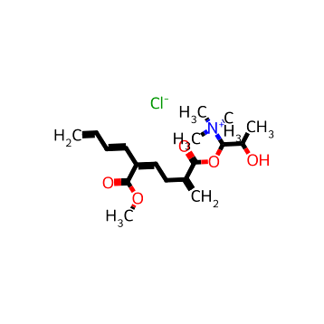 C=CC=CC(=CCC(=C)C(=O)OC(C(C)O)[N+](C)(C)C)C(=O)OC.[Cl-]